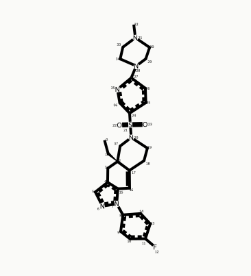 CC[C@]12Cc3cnn(-c4ccc(F)cc4)c3C=C1CCN(S(=O)(=O)c1ccc(N3CCN(C)CC3)nc1)C2